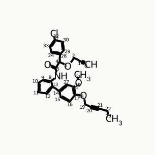 C#CCOC(C(=O)Nc1ccccc1-c1ccc(OCC#CCC)c(OC)c1)c1ccc(Cl)cc1